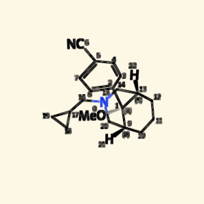 CO[C@@]1(c2ccc(C#N)cc2)[C@@H]2CCC[C@H]1CN(CC1CC1)C2